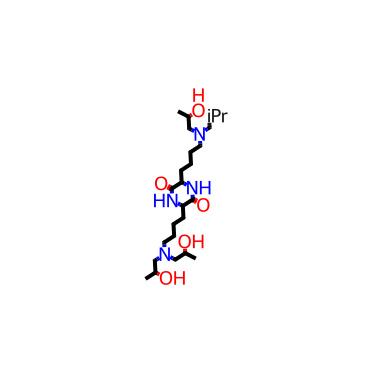 CC(C)CN(CCCCC1NC(=O)C(CCCCN(CC(C)O)CC(C)O)NC1=O)CC(C)O